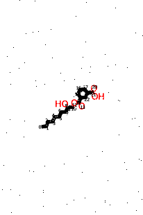 CCCCCCCCC(O)COC(=O)C1CCCC(C(=O)O)C1